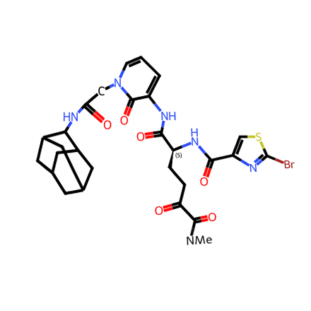 CNC(=O)C(=O)CC[C@H](NC(=O)c1csc(Br)n1)C(=O)Nc1cccn(CC(=O)NC2C3CC4CC(C3)CC2C4)c1=O